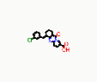 O=C(O)c1ccc2nc3c(c(=O)n2c1)CCCC3=Cc1cccc(Cl)c1